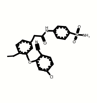 CCc1ccc(CC(=O)Nc2ccc(S(N)(=O)=O)cc2)cc1Oc1cc(Cl)ccc1C#N